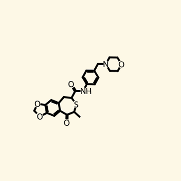 CC1SC(C(=O)Nc2ccc(CN3CCOCC3)cc2)Cc2cc3c(cc2C1=O)OCO3